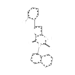 O=c1c2sc(-c3ccccc3Cl)cc2[nH]c(=S)n1-c1cccc2ccccc12